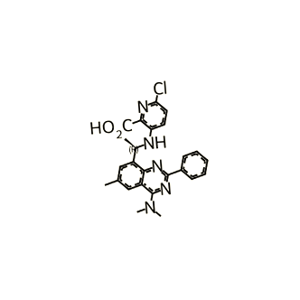 Cc1cc([C@@H](C)Nc2ccc(Cl)nc2C(=O)O)c2nc(-c3ccccc3)nc(N(C)C)c2c1